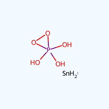 OP1(O)(O)OO1.[SnH2]